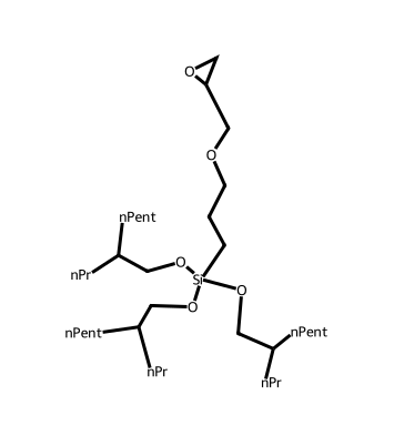 CCCCCC(CCC)CO[Si](CCCOCC1CO1)(OCC(CCC)CCCCC)OCC(CCC)CCCCC